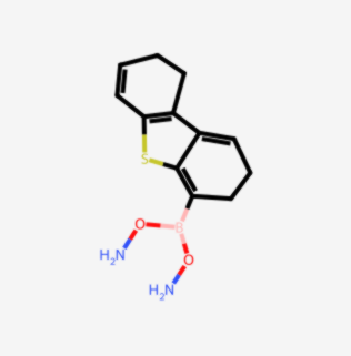 NOB(ON)C1=c2sc3c(c2=CCC1)CCC=C3